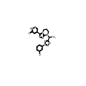 CC(c1nnn(-c2cccc(Cl)c2)n1)N1CCCn2c(-c3cn[nH]c(=O)c3)nnc21